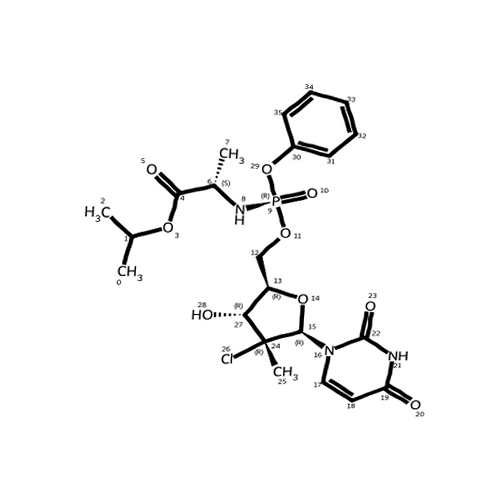 CC(C)OC(=O)[C@H](C)N[P@@](=O)(OC[C@H]1O[C@@H](n2ccc(=O)[nH]c2=O)[C@](C)(Cl)[C@@H]1O)Oc1ccccc1